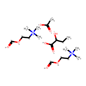 CC(=O)[O-].CCC(O)C(=O)[O-].C[N+](C)(C)CCOC=O.C[N+](C)(C)CCOC=O